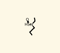 CCCN(CC)[SH]=O